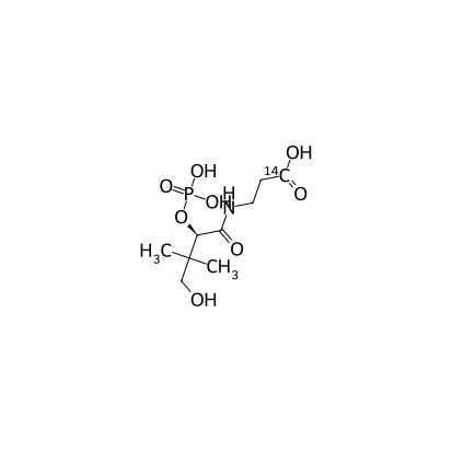 CC(C)(CO)[C@@H](OP(=O)(O)O)C(=O)NCC[14C](=O)O